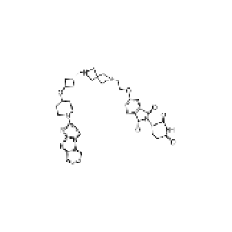 O=C1CCC(N2C(=O)c3ccc(OCCN4CC5(C4)CN(C[C@H]4C[C@H](OC6CCN(c7ccn8c(n7)nc7ccccc78)CC6)C4)C5)cc3C2=O)C(=O)N1